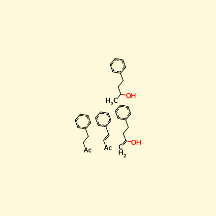 C=C(O)CCc1ccccc1.CC(=O)/C=C/c1ccccc1.CC(=O)CCc1ccccc1.CC(O)CCc1ccccc1